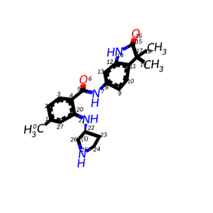 Cc1ccc(C(=O)Nc2ccc3c(c2)NC(=O)C3(C)C)c(N[C@H]2CCNC2)c1